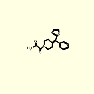 CC(=O)C(=O)N1CCC(=C(c2ccccc2)c2nccs2)CC1